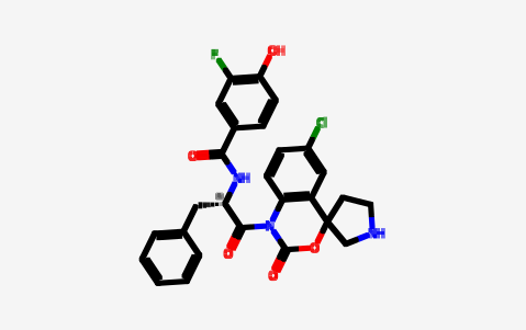 O=C(N[C@@H](Cc1ccccc1)C(=O)N1C(=O)OC2(CCNC2)c2cc(Cl)ccc21)c1ccc(O)c(F)c1